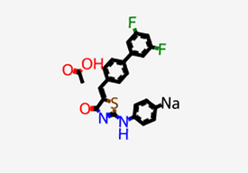 CC(=O)O.O=C1N=C(Nc2cc[c]([Na])cc2)SC1=Cc1ccc(-c2cc(F)cc(F)c2)cc1